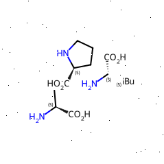 CC[C@H](C)[C@H](N)C(=O)O.C[C@H](N)C(=O)O.O=C(O)[C@@H]1CCCN1